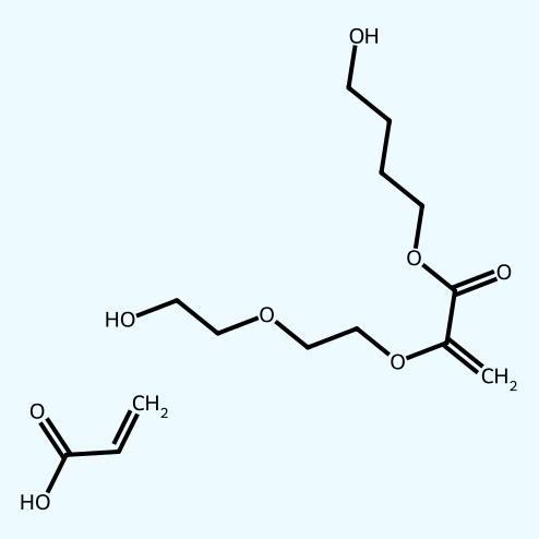 C=C(OCCOCCO)C(=O)OCCCCO.C=CC(=O)O